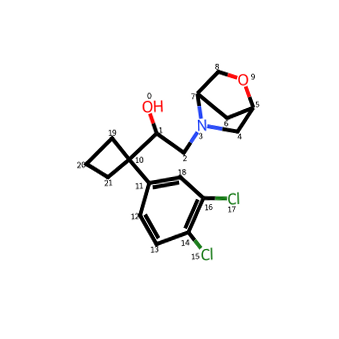 OC(CN1CC2CC1CO2)C1(c2ccc(Cl)c(Cl)c2)CCC1